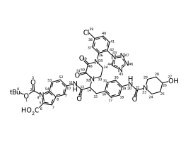 CC(C)(C)OC(=O)n1c(C(=O)O)cc2cc(NC(=O)C(Cc3ccc(NC(=O)N4CCC(O)CC4)cc3)N3CCN(c4cc(Cl)ccc4-n4cnnn4)C(=O)C3=O)ccc21